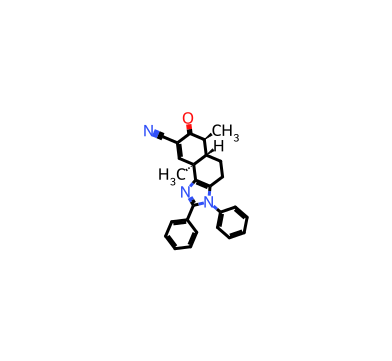 C[C@@H]1C(=O)C(C#N)=C[C@]2(C)c3nc(-c4ccccc4)n(-c4ccccc4)c3CC[C@@H]12